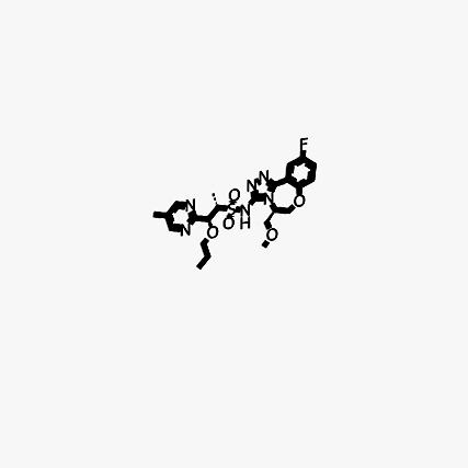 CCCO[C@@H](c1ncc(C)cn1)[C@H](C)S(=O)(=O)Nc1nnc2n1[C@H](COC)COc1ccc(F)cc1-2